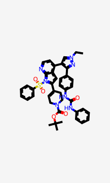 CCn1cc(-c2ccnc3c2cc(C2=CCN(C(=O)OC(C)(C)C)CC2)n3S(=O)(=O)c2ccccc2)c(-c2ccc(NC(=O)Nc3ccccc3)cc2)n1